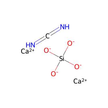 N=C=N.[Ca+2].[Ca+2].[O-][Si]([O-])([O-])[O-]